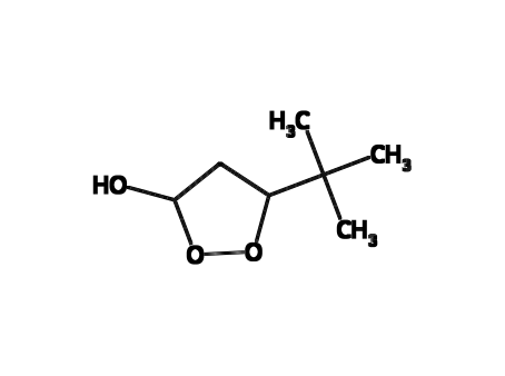 CC(C)(C)C1CC(O)OO1